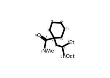 CCCCCCCCC(CC)CC1(C(=O)NC)CCCCC1